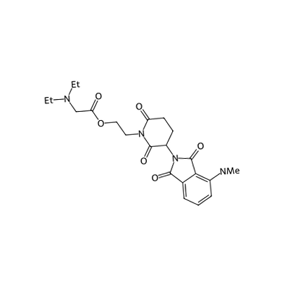 CCN(CC)CC(=O)OCCN1C(=O)CCC(N2C(=O)c3cccc(NC)c3C2=O)C1=O